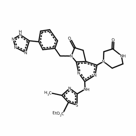 CCOC(=O)c1sc(Nc2nc(N3CCNC(=O)C3)c3c(n2)N(Cc2cccc(-c4nnn[nH]4)c2)C(=O)C3)nc1C